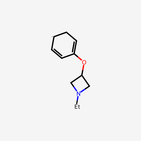 CCN1CC(OC2=CC[CH]C=C2)C1